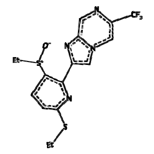 CCSc1ccc([S+]([O-])CC)c(-c2cn3cc(C(F)(F)F)ncc3n2)n1